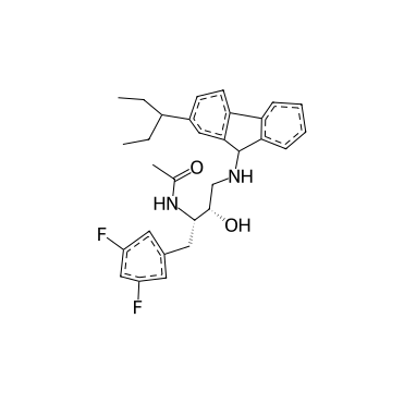 CCC(CC)c1ccc2c(c1)C(NC[C@H](O)[C@H](Cc1cc(F)cc(F)c1)NC(C)=O)c1ccccc1-2